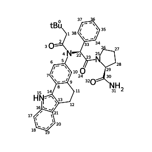 CC(C)(C)CC(=O)N(c1ccc2c(c1)CCc1c-2[nH]c2ccccc12)[C@H](C(=O)N1CCC[C@H]1C(N)=O)c1ccccc1